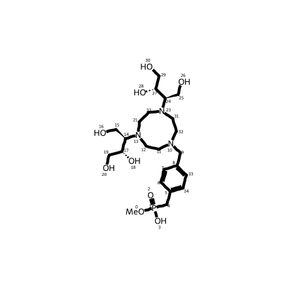 COP(=O)(O)Cc1ccc(CN2CCN([C@H](CO)[C@H](O)CO)CCN([C@H](CO)[C@H](O)CO)CC2)cc1